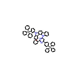 c1ccc(-c2nc(-c3ccc([Si](c4ccccc4)(c4ccccc4)c4ccccc4)cc3)cc(-n3c4ccccc4c4ccc5c(c6ccccc6n5-c5cccc([Si](c6ccccc6)(c6ccccc6)c6ccccc6)c5)c43)n2)cc1